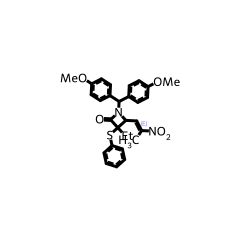 CCC1(Sc2ccccc2)C(=O)N(C(c2ccc(OC)cc2)c2ccc(OC)cc2)C1/C=C(\C)[N+](=O)[O-]